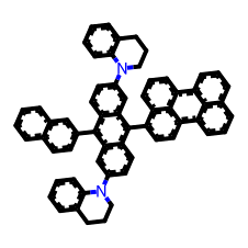 c1ccc2c(c1)CCCN2c1ccc2c(-c3ccc4c5cccc6cccc(c7cccc3c74)c65)c3cc(N4CCCc5ccccc54)ccc3c(-c3ccc4ccccc4c3)c2c1